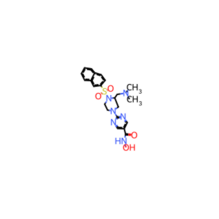 CN(C)CC1CN(c2ncc(C(=O)NO)cn2)CCN1S(=O)(=O)c1ccc2ccccc2c1